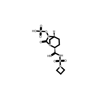 N=C(NS(=O)(=O)N1CCC1)[C@@H]1CC[C@@H]2CN1C(=O)N2OS(=O)(=O)O